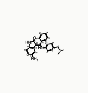 CN(C)Cc1ccc(NC(=C2C(=O)Nc3ccc(N)cc32)c2ccccc2)cc1